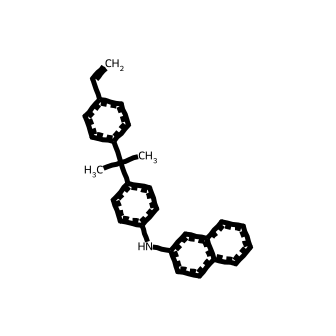 C=Cc1ccc(C(C)(C)c2ccc(Nc3ccc4ccccc4c3)cc2)cc1